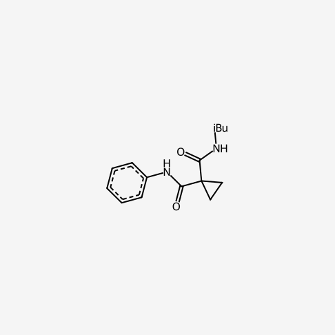 CCC(C)NC(=O)C1(C(=O)Nc2ccccc2)CC1